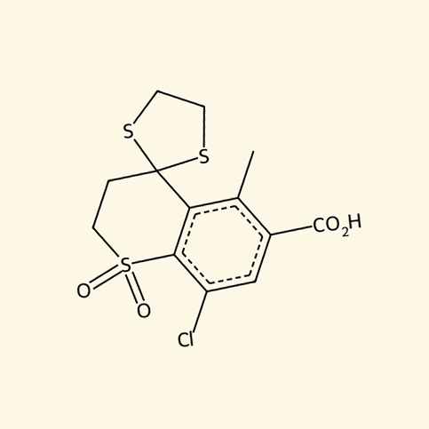 Cc1c(C(=O)O)cc(Cl)c2c1C1(CCS2(=O)=O)SCCS1